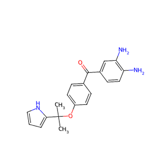 CC(C)(Oc1ccc(C(=O)c2ccc(N)c(N)c2)cc1)c1ccc[nH]1